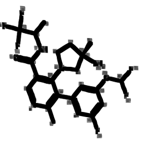 Cc1ncc(C(=O)NC(C)C(F)(F)F)c(N2CC[C@](C)(N)C2)c1-c1cc(F)cc(OC(F)F)c1